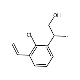 [CH2]C(CO)c1cccc(C=C)c1Cl